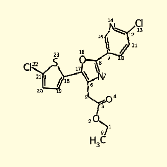 CCOC(=O)Cc1nc(-c2ccc(Cl)nc2)oc1-c1ccc(Cl)s1